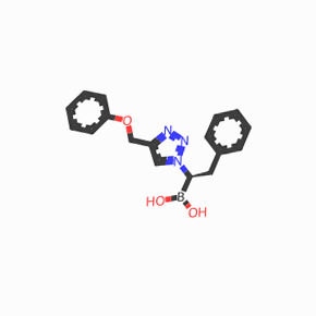 OB(O)[C@H](Cc1ccccc1)n1cc(COc2ccccc2)nn1